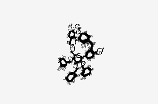 CCOc1ccc(Cc2cc([C@@H]3S[C@H](COCc4ccccc4)[C@@H](OCc4ccccc4)[C@H](OCc4ccccc4)[C@H]3OCc3ccccc3)ccc2Cl)cc1F